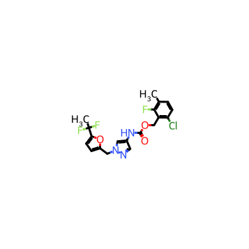 Cc1ccc(Cl)c(COC(=O)Nc2cnn(Cc3ccc(C(C)(F)F)o3)c2)c1F